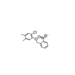 Cc1cc(Cl)c(OCc2ccccc2[N+](=O)[O-])cc1C